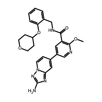 COc1ncc(-c2ccn3nc(N)nc3c2)cc1C(=O)NCc1ccccc1OC1CCOCC1